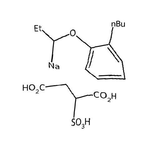 CCCCc1ccccc1O[CH]([Na])CC.O=C(O)CC(C(=O)O)S(=O)(=O)O